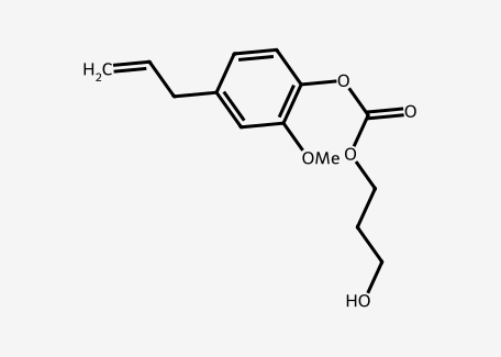 C=CCc1ccc(OC(=O)OCCCO)c(OC)c1